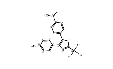 C[S+]([O-])c1ccc(-c2sc(C(F)(F)F)nc2-c2ccc(F)cc2)cc1